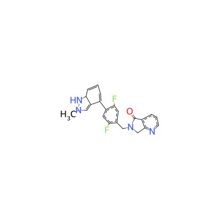 CN1C=C2C(c3cc(F)c(CN4Cc5ncccc5C4=O)cc3F)=CC=CC2N1